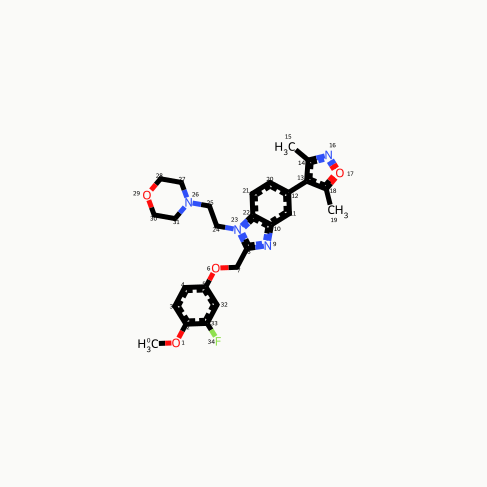 COc1ccc(OCc2nc3cc(-c4c(C)noc4C)ccc3n2CCN2CCOCC2)cc1F